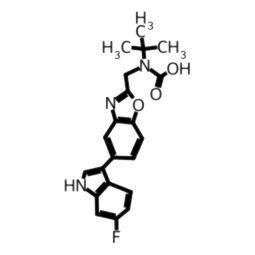 CC(C)(C)N(Cc1nc2cc(-c3c[nH]c4cc(F)ccc34)ccc2o1)C(=O)O